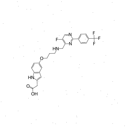 O=C(O)Cc1cc2cc(OCCCNCc3nc(-c4ccc(C(F)(F)F)cc4)ncc3F)ccc2[nH]1